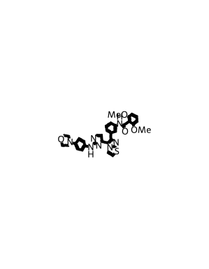 COc1cccc(OC)c1C(=O)Nc1cccc(-c2nc3sccn3c2-c2ccnc(Nc3ccc(N4CCOCC4)cc3)n2)c1